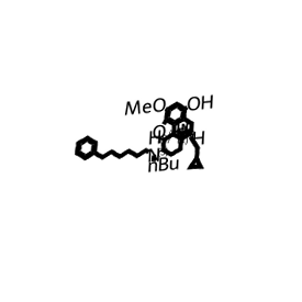 CCCCN(CCCCCCc1ccccc1)[C@H]1CC[C@H]2[C@H]3Cc4c(O)cc(OC)c5c4[C@@]2(CCN3CC2CC2)[C@H]1O5